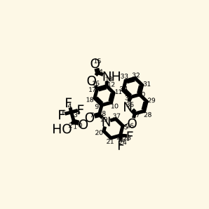 O=C(O)C(F)(F)F.O=C(c1ccc2[nH]c(=O)oc2c1)N1CCC(F)(F)[C@@H](Oc2ccc3ccccc3n2)C1